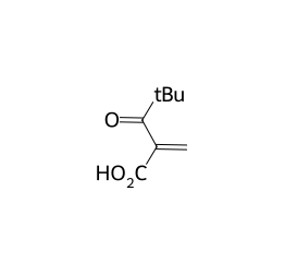 C=C(C(=O)O)C(=O)C(C)(C)C